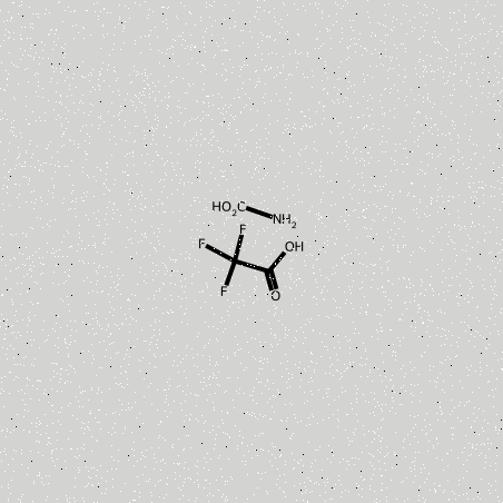 NC(=O)O.O=C(O)C(F)(F)F